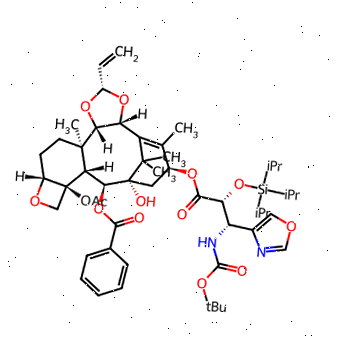 C=C[C@@H]1O[C@@H]2C3=C(C)[C@@H](OC(=O)[C@H](O[Si](C(C)C)(C(C)C)C(C)C)[C@@H](NC(=O)OC(C)(C)C)c4cocn4)C[C@@](O)([C@@H](OC(=O)c4ccccc4)[C@H]4[C@@](C)(CC[C@H]5OC[C@]54OC(C)=O)[C@@H]2O1)C3(C)C